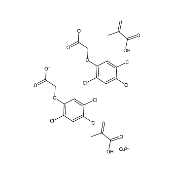 C=C(C)C(=O)O.C=C(C)C(=O)O.O=C([O-])COc1cc(Cl)c(Cl)cc1Cl.O=C([O-])COc1cc(Cl)c(Cl)cc1Cl.[Cu+2]